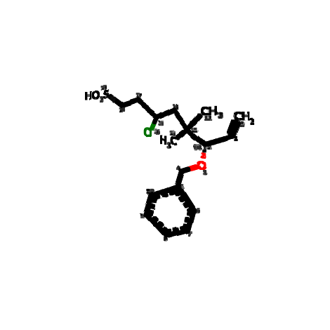 C=C[C@H](OCc1ccccc1)C(C)(C)CC(Cl)CCS(=O)(=O)O